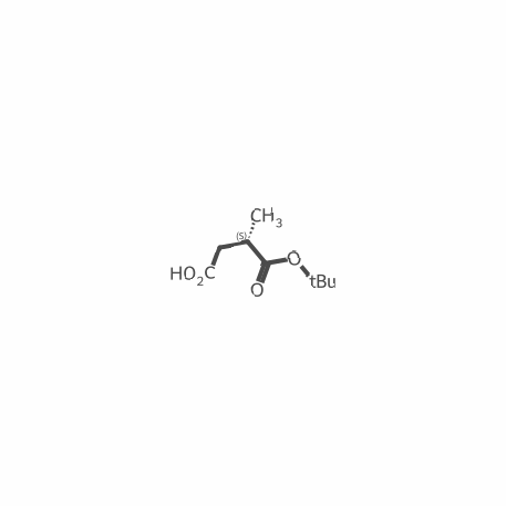 C[C@@H](CC(=O)O)C(=O)OC(C)(C)C